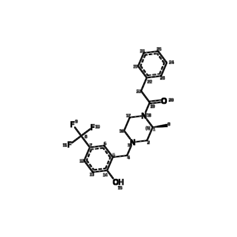 C[C@H]1CN(Cc2cc(C(F)(F)F)ccc2O)CCN1C(=O)Cc1ccccc1